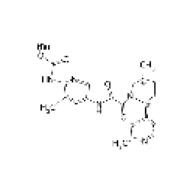 Cc1cc([C@@H]2CC[C@@H](C)CN2C(=O)C(=O)Nc2cnc(NC(=O)OC(C)(C)C)c(C)c2)ccn1